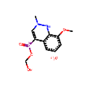 COc1cccc2c1NN(C)C=C2[PH](=O)OCO.O